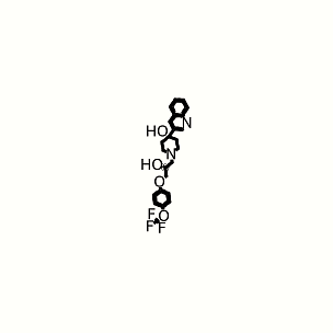 O[C@H](COc1ccc(OC(F)(F)F)cc1)CN1CCC(O)(c2cnc3ccccc3c2)CC1